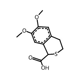 COc1cc2c(cc1OC)C(C(=O)O)SCC2